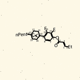 CCC=CC(=O)Oc1ccc(C23CCC(CCCCC)(CC2)CC3)c(F)c1F